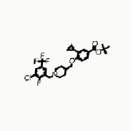 CC(C)(C)OC(=O)c1ccc(OCC2CCN(Cc3cc(C(F)(F)F)cc(Cl)c3F)CC2)c(C2CC2)c1